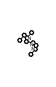 c1ccc(-c2ccc3ccc4ccc(-c5cccc6c5nc(-c5ccccc5)c5cccc(-c7ccccc7)c56)nc4c3n2)cc1